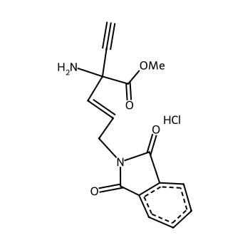 C#CC(N)(C=CCN1C(=O)c2ccccc2C1=O)C(=O)OC.Cl